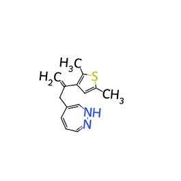 C=C(CC1=CNN=CC=C1)c1cc(C)sc1C